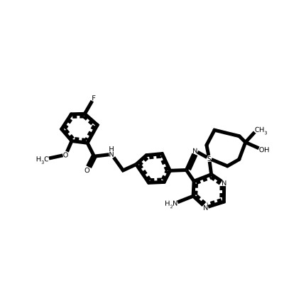 COc1ccc(F)cc1C(=O)NCc1ccc(C2=NS3(CCCC(C)(O)CC3)c3ncnc(N)c32)cc1